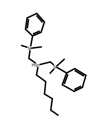 CCCCC[CH2][SnH]([CH2][Si](C)(C)c1ccccc1)[CH2][Si](C)(C)c1ccccc1